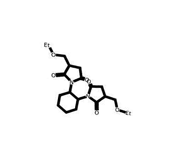 CCOCC1CC(=O)N(C2CCCCC2N2C(=O)CC(COCC)C2=O)C1=O